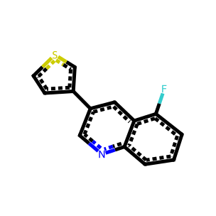 Fc1cccc2ncc(-c3ccsc3)cc12